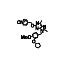 COc1ccc(Cn2c(C)nc3c(C)nc(OCc4cc[n+]([O-])cc4)nc32)cc1OC1CCCC1